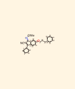 CO/N=C1/C(C#N)=C(c2ccccc2)c2ccc(OCCCc3ccccc3)cc21